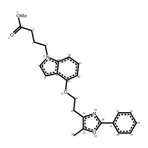 COC(=O)CCCn1ccc2c(OCCc3nc(-c4ccccc4)oc3C)cccc21